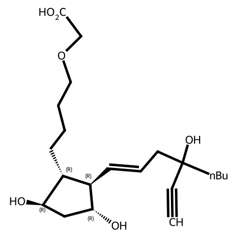 C#CC(O)(CC=C[C@@H]1[C@@H](CCCCOCC(=O)O)[C@H](O)C[C@H]1O)CCCC